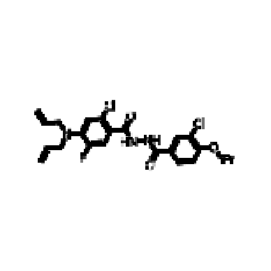 C=CCN(CC=C)c1cc(Cl)c(C(=O)NNC(=O)c2ccc(OC(C)C)c(Cl)c2)cc1F